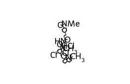 CNC(=O)c1ccc(/C=C/C(=O)NCC(=O)N(C)c2ccc(Cl)c(COc3cccc4ccc(C)nc34)c2Cl)cc1.Cl